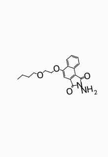 CCCCOCCOc1cc2c(c3ccccc13)C(=O)N(N)C2=O